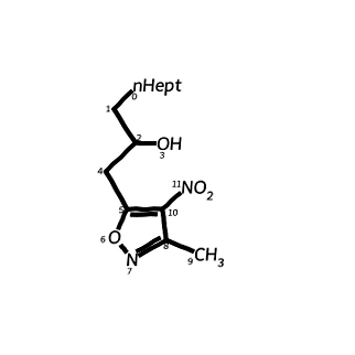 CCCCCCCCC(O)Cc1onc(C)c1[N+](=O)[O-]